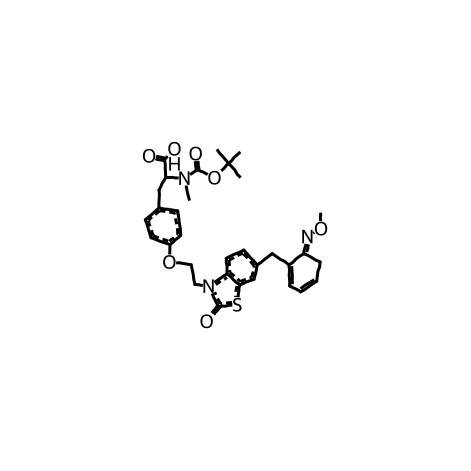 CON=C1CC=CC=C1Cc1ccc2c(c1)sc(=O)n2CCOc1ccc(CC(C(=O)O)N(C)C(=O)OC(C)(C)C)cc1